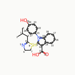 CC(C)CC1=NCC[SH]1c1c(C(=O)O)c2ccccc2n1-c1ccc(O)cc1